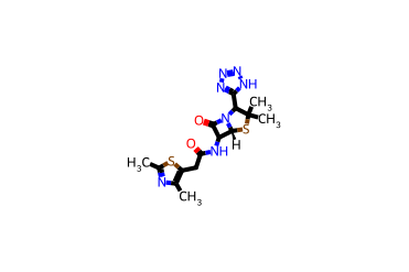 Cc1nc(C)c(CC(=O)NC2C(=O)N3C(c4nnn[nH]4)C(C)(C)S[C@H]23)s1